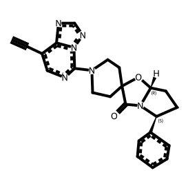 C#Cc1cnc(N2CCC3(CC2)O[C@@H]2CC[C@@H](c4ccccc4)N2C3=O)n2ncnc12